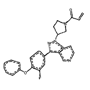 C=CC(=O)N1CCC(n2nc(-c3ccc(Oc4ccccc4)c(F)c3)c3cnccc32)C1